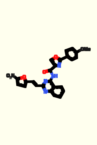 COc1ccc(-c2nc(C(=O)Nc3nc(/C=C/c4ccc([N+](=O)[O-])o4)nc4ccccc34)co2)cc1